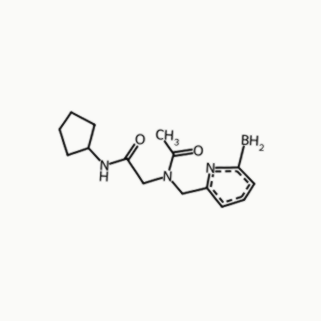 Bc1cccc(CN(CC(=O)NC2CCCC2)C(C)=O)n1